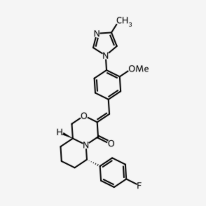 COc1cc(/C=C2\OC[C@H]3CCC[C@@H](c4ccc(F)cc4)N3C2=O)ccc1-n1cnc(C)c1